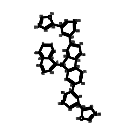 c1ccc2c(-n3c4cc(-c5cncc(-c6cnco6)c5)ccc4c4ccc(-c5cncc(-c6cnco6)c5)cc43)cccc2c1